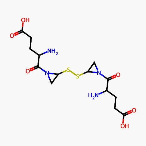 NC(CCC(=O)O)C(=O)N1CC1SSC1CN1C(=O)C(N)CCC(=O)O